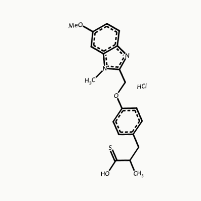 COc1ccc2nc(COc3ccc(CC(C)C(O)=S)cc3)n(C)c2c1.Cl